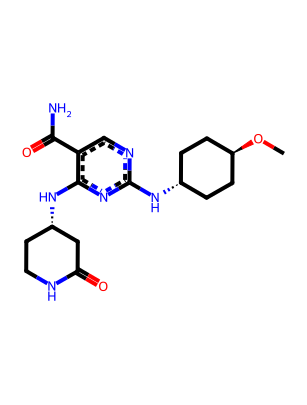 CO[C@H]1CC[C@H](Nc2ncc(C(N)=O)c(N[C@H]3CCNC(=O)C3)n2)CC1